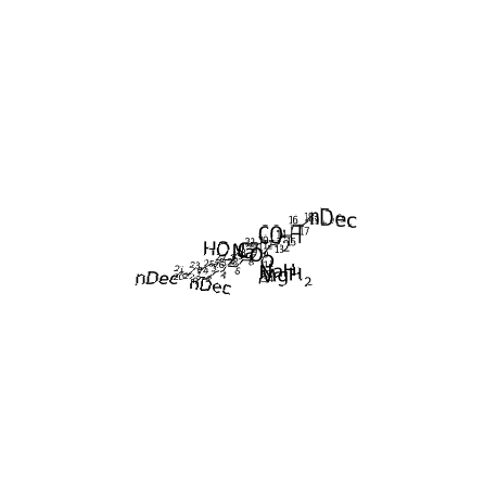 CCCCCCCCCCCCCCCCCCOC(=O)CCCCCCCCCCCCCCCCC.CCCCCCCCCCCCCCCCC[CH2][Na].O=C(O)/C=C/C(=O)O.[MgH2].[NaH]